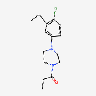 CCC(=O)N1CCN(c2ccc(Cl)c(CC)c2)CC1